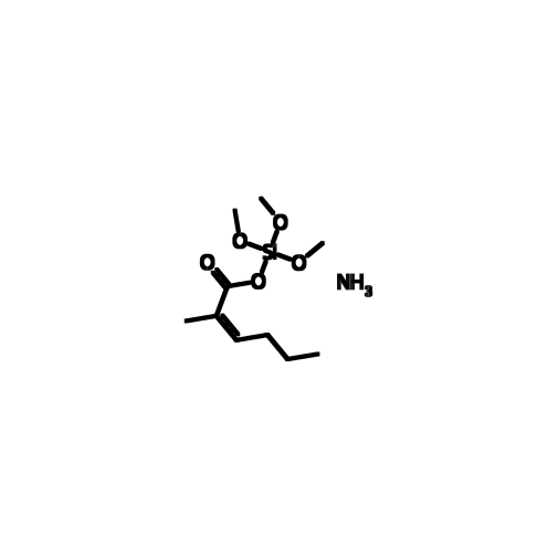 CCCC=C(C)C(=O)O[Si](OC)(OC)OC.N